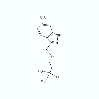 C[Si](C)(C)CCOCc1n[nH]c2cc(N)ccc12